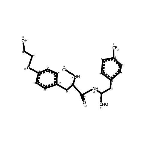 O=CC(Cc1ccc(C(F)(F)F)cc1)NC(=O)C(Cc1ccc(OCCO)cc1)NCl